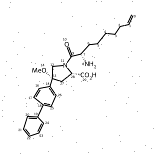 C=CCCCCC[C@H](N)C(=O)N1C[C@](OC)(c2ccc(-c3ccccc3)cc2)C[C@H]1C(=O)O